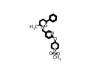 C[C@H]1CCC(c2ccccc2)SN1Cc1ccc(OC2CCN(S(C)(=O)=O)CC2)nc1